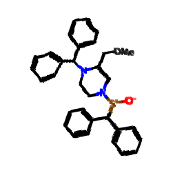 COCC1CN([S+]([O-])C(c2ccccc2)c2ccccc2)CCN1C(c1ccccc1)c1ccccc1